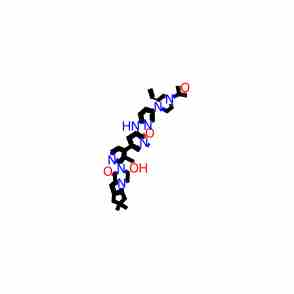 C=C[C@H]1CN(C2COC2)CCN1c1ccc(Nc2cc(-c3ccnc(N4CCn5c(cc6c5CC(C)(C)C6)C4=O)c3CO)cn(C)c2=O)nc1